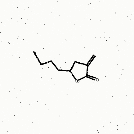 C=C1CC(CCCC)OC1=O